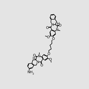 COc1cc2c(cc1OCCCCCOc1cc3c(cc1OC)C(=O)N1Cc4ccccc4C[C@H]1C(=O)N3C)N(C)C(=O)[C@H]1Cc3ccc(N)cc3CN1C2=O